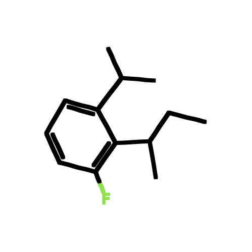 CCC(C)c1c(F)cccc1C(C)C